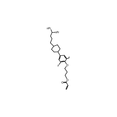 C=CC(=O)OCCCOc1c(F)cc(C2CCC(CCCC(CCC)CCC)CC2)cc1F